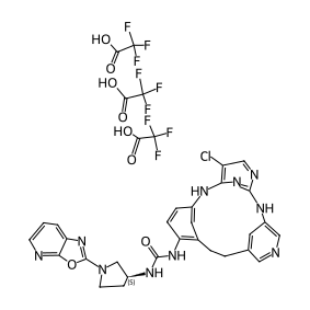 O=C(Nc1ccc2cc1CCc1cncc(c1)Nc1ncc(Cl)c(n1)N2)N[C@H]1CCN(c2nc3cccnc3o2)C1.O=C(O)C(F)(F)F.O=C(O)C(F)(F)F.O=C(O)C(F)(F)F